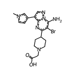 Cn1ccc(-c2cnn3c(N)c(Br)c(C4CCN(CC(=O)O)CC4)nc23)c1